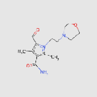 Cc1c(C(N)=O)c(C)n(CCN2CCOCC2)c1C=O